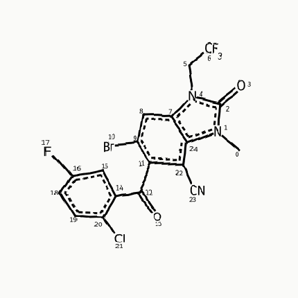 Cn1c(=O)n(CC(F)(F)F)c2cc(Br)c(C(=O)c3cc(F)ccc3Cl)c(C#N)c21